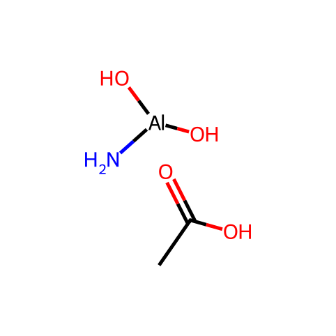 CC(=O)O.[NH2][Al]([OH])[OH]